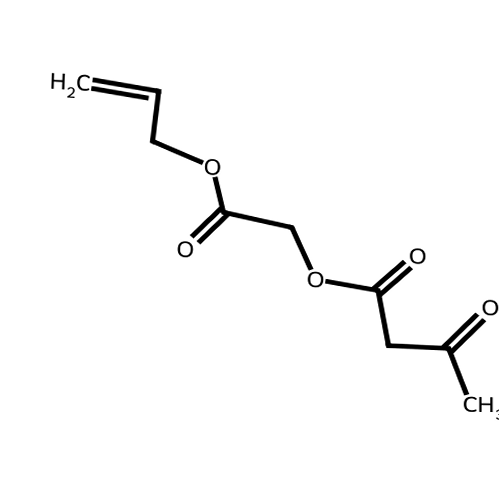 C=CCOC(=O)COC(=O)CC(C)=O